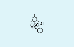 Cc1cc(C)c(S(=O)(=O)Nc2ccccc2CCl)c(C)c1